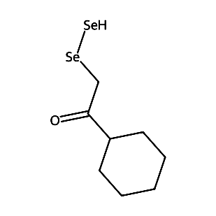 O=C(C[Se][SeH])C1CCCCC1